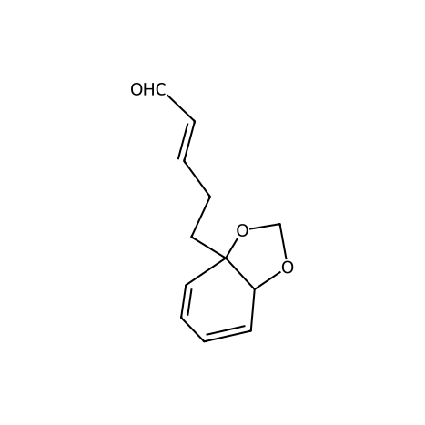 O=CC=CCCC12C=CC=CC1OCO2